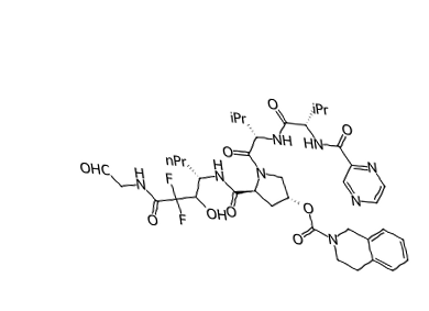 CCC[C@H](NC(=O)[C@@H]1C[C@@H](OC(=O)N2CCc3ccccc3C2)CN1C(=O)[C@@H](NC(=O)[C@@H](NC(=O)c1cnccn1)C(C)C)C(C)C)C(O)C(F)(F)C(=O)NCC=O